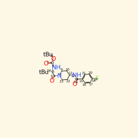 CC(C)(C)OC(=O)N[C@H](C(=O)N1CCC(NC(=O)c2ccc(F)cc2)CC1)C(C)(C)C